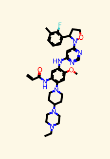 C=CC(=O)Nc1cc(Nc2cc(N3OCCC3c3cccc(C)c3F)ncn2)c(OC)cc1N1CCC(N2CCN(CC)CC2)CC1